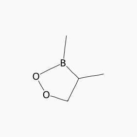 CB1OOCC1C